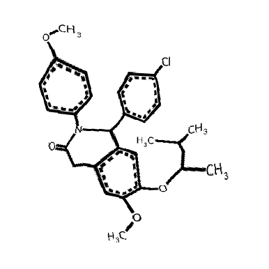 COc1ccc(N2C(=O)Cc3cc(OC)c(OC(C)C(C)C)cc3C2c2ccc(Cl)cc2)cc1